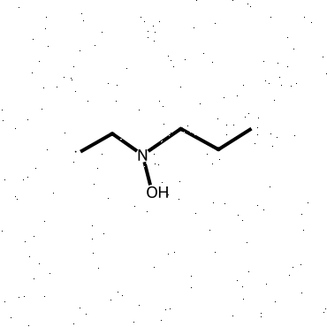 [CH2]CN(O)CCC